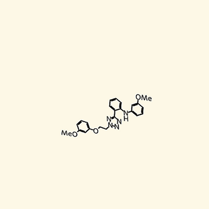 COc1cccc(Nc2ccccc2-c2nnn(CCOc3cccc(OC)c3)n2)c1